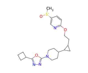 C[S+]([O-])c1ccc(OCCC2CC2C2CCN(c3nnc(C4CCC4)o3)CC2)nc1